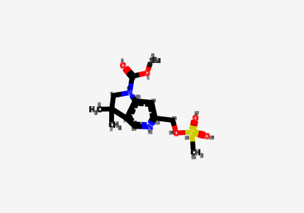 CC(C)(C)OC(=O)N1CC(C)(C)c2cnc(COS(C)(=O)=O)cc21